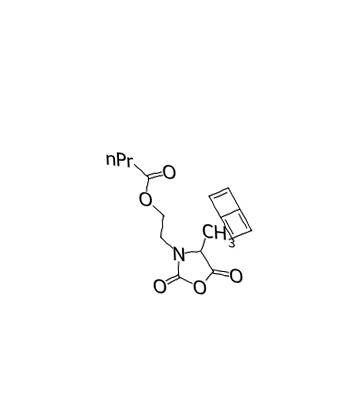 CCCC(=O)OCCN1C(=O)OC(=O)C1C.c1cc2ccc1-2